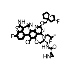 N#Cc1c(N)sc2c(F)ccc(-c3c(Cl)c4c5c(nc(OC[C@@]67CCCN6C[C@H](F)C7)nc5c3F)N(CC(F)F)[C@@H](CNC(=O)[C@H]3CN3)CO4)c12